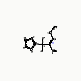 CC(C)O/N=C(/C(C)(C)C)C(C)(C)c1nnco1